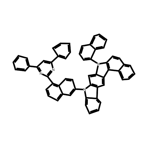 c1ccc(-c2cc(-c3ccccc3)nc(-c3cccc4cc(-n5c6ccccc6c6cc7c8c9ccccc9ccc8n(-c8cccc9ccccc89)c7cc65)ccc34)n2)cc1